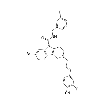 N#Cc1ccc(/C=C/CN2CCc3c(c4ccc(Br)cc4n3C(=O)NCc3ccnc(F)c3)C2)cc1F